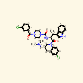 C[C@H](c1c[nH]c2ccccc12)[C@@H](NC(=O)N1CCN(C(=O)c2cccc(Cl)c2)CC1)C(=O)N1C[C@@H](CN(C)C)Cc2cc(Cl)ccc21